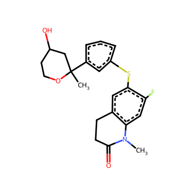 CN1C(=O)CCc2cc(Sc3cccc(C4(C)CC(O)CCO4)c3)c(F)cc21